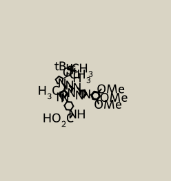 COc1cc(-n2cnc(Nc3nc(N4CCC[C@H]4CO[Si](C)(C)C(C)(C)C)c4c(C)nn([C@H]5CC[C@H](NC(=O)O)CC5)c4n3)c2)cc(OC)c1OC